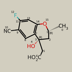 C[C@@H]1C[C@@](O)(CC(=O)O)c2cc(C#N)c(F)cc2O1